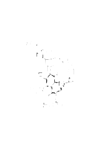 CON=C1CN(c2c(F)c(N)c3c(=O)c(C(=O)O)cn(C4CC4)c3c2F)CC1(C)CN.Cl